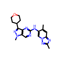 Cc1nc2cc(C)c(Nc3ncc4c(n3)c(C3CCOCC3)nn4C)cn2n1